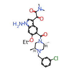 CCOc1cc2c(cc1C(=O)N1C[C@H](C)N(Cc3cccc(Cl)c3)C[C@H]1C)c(C(=O)C(=O)N(C)C)cn2N